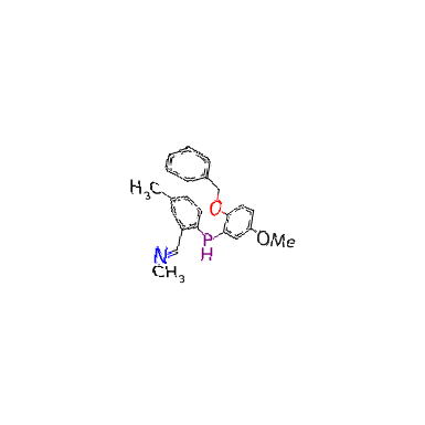 C/N=C/c1cc(C)ccc1Pc1cc(OC)ccc1OCc1ccccc1